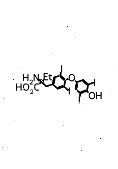 CC[C@](N)(Cc1cc(I)c(Oc2cc(I)c(O)c(I)c2)c(I)c1)C(=O)O